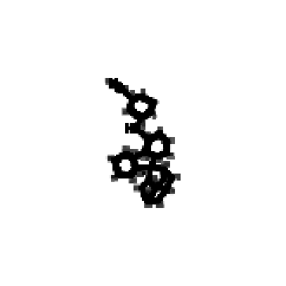 N#Cc1cccc(Nc2cccc3c2-c2ccccc2C32C3CC4CC(C3)CC2C4)c1